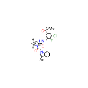 COC(=O)c1cc(Cl)c(F)c(CNC(=O)[C@@H]2C[C@@H]3C[C@H]3N2C(=O)Cn2cc(C(C)=O)c3ccccc32)c1